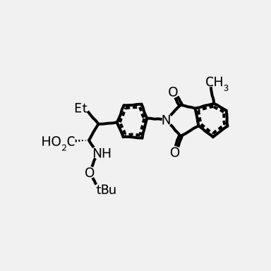 CCC(c1ccc(N2C(=O)c3cccc(C)c3C2=O)cc1)[C@H](NOC(C)(C)C)C(=O)O